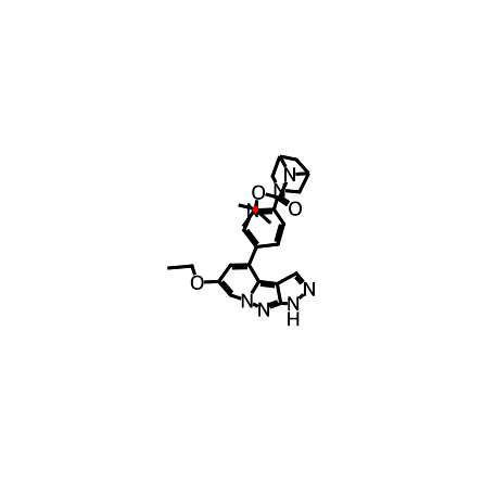 CCOc1cc(-c2ccc(N3CC4CC(C3)N4C(=O)OC(C)(C)C)nc2)c2c3cn[nH]c3nn2c1